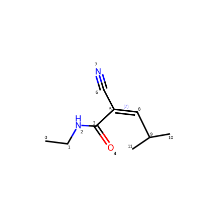 CCNC(=O)/C(C#N)=C\C(C)C